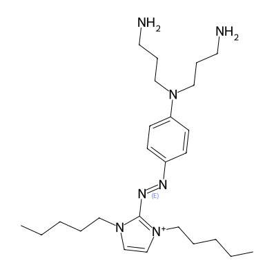 CCCCCn1cc[n+](CCCCC)c1/N=N/c1ccc(N(CCCN)CCCN)cc1